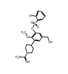 COc1c(OS(=O)(=O)c2ccccc2Cl)cc(CO)cc1C1CCN(C(=N)N)CC1